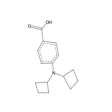 O=C(O)c1ccc(N(C2CCC2)C2CCC2)cc1